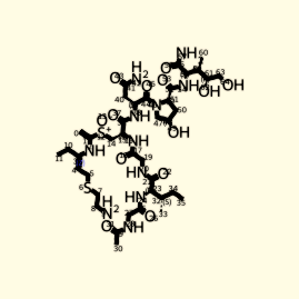 C=C(N/C(=C\CSCCN)CC)[S+]([O-])C[C@H](NC(=O)CNC(=O)[C@H](NC(=O)CNC(C)=O)[C@@H](C)CC)C(=O)N[C@@H](CC(N)=O)C(=O)N1C[C@H](O)C[C@@H]1C(=O)N[C@H](C(N)=O)[C@@H](C)[C@@H](O)CO